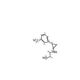 Cc1cccc(C2CC2NCCO)c1